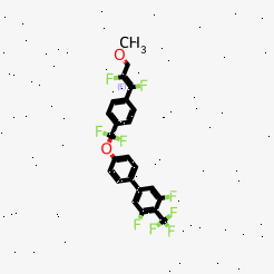 COC/C(F)=C(\F)c1ccc(C(F)(F)Oc2ccc(-c3cc(F)c(C(F)(F)F)c(F)c3)cc2)cc1